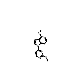 COc1cccc2c1ccn2-c1ccnc(SC)n1